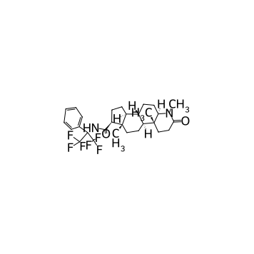 CN1C(=O)CC[C@]2(C)[C@H]3CC[C@]4(C)[C@@H](C(=O)NC(c5ccccc5)(C(F)(F)F)C(F)(F)F)CC[C@H]4[C@@H]3CC[C@@H]12